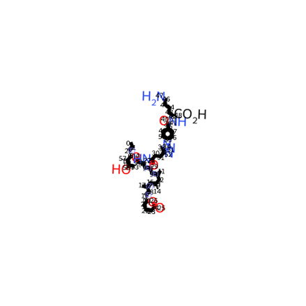 C/C=C/[C@@H]1O[C@H]([C@@H](/C=C/C=C(\C)C[C@@H](C)/C=C(C)\C=C\[C@H]2CC=CC(=O)O2)NC(=O)CCc2cn(-c3ccc(C(=O)N[C@@H](CCCCN)C(=O)O)cc3)nn2)C[C@@H](O)[C@@H]1C